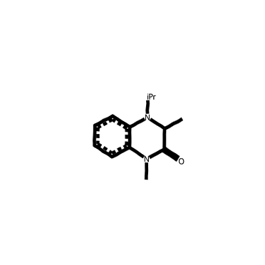 CC(C)N1c2ccccc2N(C)C(=O)C1C